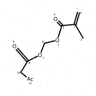 C=C(C)C(=O)OCOC(=O)CC(C)=O